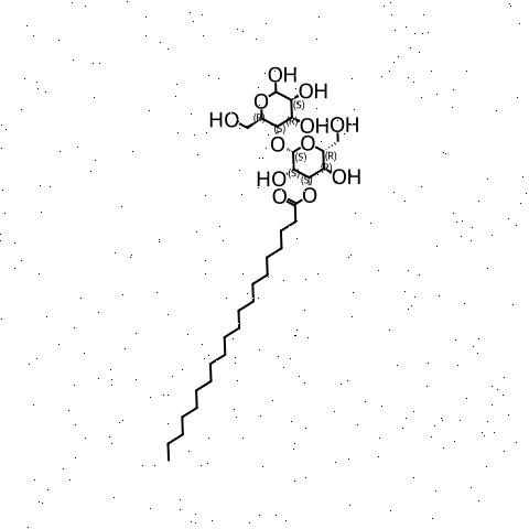 CCCCCCCCCCCCCCCCCCCC(=O)O[C@@H]1[C@H](O)[C@H](O[C@H]2[C@H](O)[C@H](O)C(O)O[C@@H]2CO)O[C@H](CO)[C@H]1O